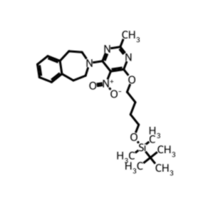 Cc1nc(OCCCCO[Si](C)(C)C(C)(C)C)c([N+](=O)[O-])c(N2CCc3ccccc3CC2)n1